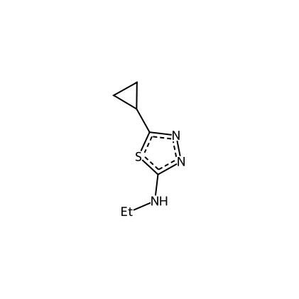 CCNc1nnc(C2CC2)s1